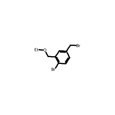 CCOCc1cc(CBr)ccc1Br